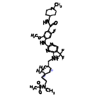 C=C(/C=C\C(C)=C/CN(C)S(C)(=O)=O)CNc1nc(Nc2cc(F)c(C(=O)NC3CCN(C)CC3)cc2OC)ncc1C(F)(F)F